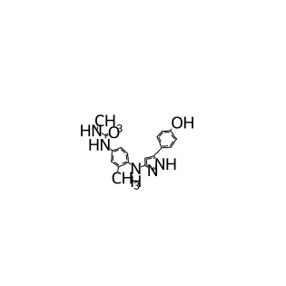 CNC(=O)Nc1ccc(Nc2cc(-c3ccc(O)cc3)[nH]n2)c(C)c1